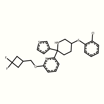 FC1(F)CC(COc2cccc(C3(c4ccsc4)CCC(Sc4ccccc4Cl)CN3)n2)C1